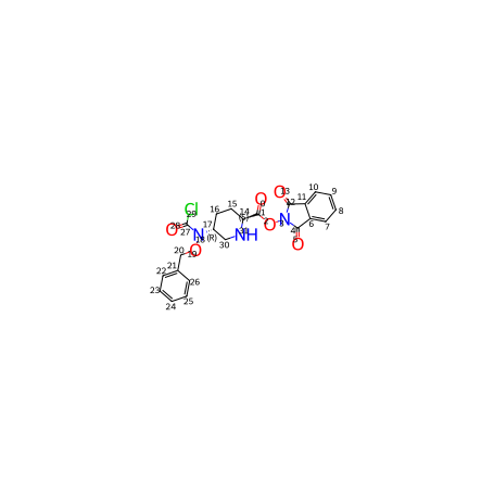 O=C(ON1C(=O)c2ccccc2C1=O)[C@@H]1CC[C@@H](N(OCc2ccccc2)C(=O)Cl)CN1